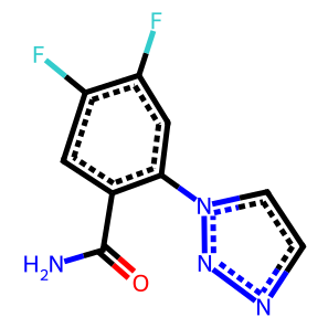 NC(=O)c1cc(F)c(F)cc1-n1ccnn1